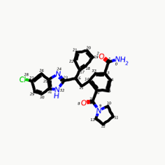 NC(=O)c1ccc(C(=O)N2CCCC2)c(CC(c2ccccc2)c2nc3cc(Cl)ccc3[nH]2)c1